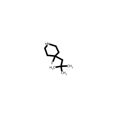 CC(C)(C)CC1(F)CCNCC1